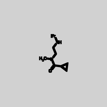 CC(C)NCCN(C)C(=O)C1CC1